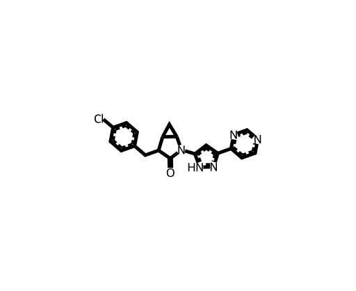 O=C1C(Cc2ccc(Cl)cc2)C2CC2N1c1cc(-c2ccncn2)n[nH]1